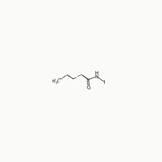 CCCCC(=O)NI